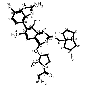 C=CC(=O)N1CC[C@H](Oc2nc(OC[C@@]34CCCN3C[C@H](F)C4)nc3c(F)c(-c4ccc(F)c5sc(N)nc45)c(C(F)(F)F)cc23)[C@@H]1C